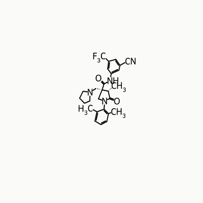 Cc1cccc(C)c1N1C[C@@](CN2CCCC2)(C(=O)Nc2cc(C#N)cc(C(F)(F)F)c2)[C@H](C)C1=O